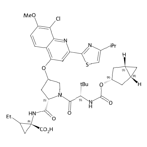 CCC1C[C@]1(NC(=O)[C@@H]1CC(Oc2cc(-c3nc(C(C)C)cs3)nc3c(Cl)c(OC)ccc23)CN1C(=O)[C@@H](NC(=O)O[C@@H]1C[C@@H]2C[C@@H]2C1)C(C)(C)C)C(=O)O